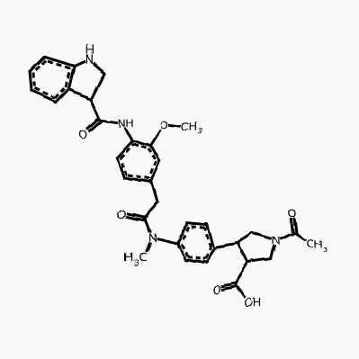 COc1cc(CC(=O)N(C)c2ccc(C3CN(C(C)=O)CC3C(=O)O)cc2)ccc1NC(=O)C1CNc2ccccc21